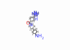 Nc1ccc(C2CCN(C(=O)C3CCC(c4nnn[nH]4)CC3)CC2)cc1